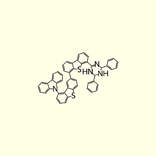 c1ccc(C2N=C(c3cccc4c3sc3c(-c5ccc6sc7cccc(-n8c9ccccc9c9ccccc98)c7c6c5)cccc34)NC(c3ccccc3)N2)cc1